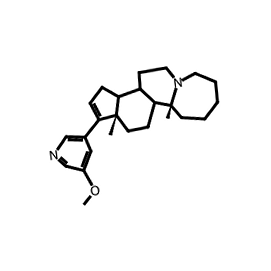 COc1cncc(C2=CCC3C4CCN5CCCCC[C@]5(C)C4CC[C@]23C)c1